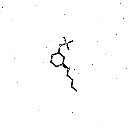 CCCCN=C1CCCC(S[Si](C)(C)C)C1